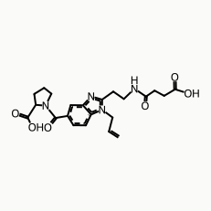 C=CCn1c(CCNC(=O)CCC(=O)O)nc2cc(C(=O)N3CCCC3C(=O)O)ccc21